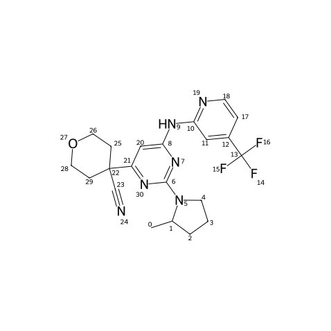 CC1CCCN1c1nc(Nc2cc(C(F)(F)F)ccn2)cc(C2(C#N)CCOCC2)n1